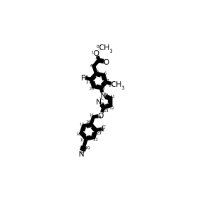 COC(=O)Cc1cc(C)c(-n2ccc(OCc3ccc(C#N)cc3F)n2)cc1F